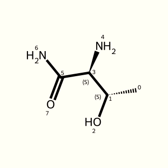 C[C@H](O)[C@H](N)C(N)=O